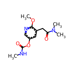 CNC(=O)Oc1cnc(OC)c(CC(=O)N(C)C)c1